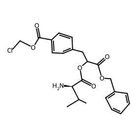 CC(C)[C@@H](N)C(=O)OC(Cc1ccc(C(=O)OCCl)cc1)C(=O)OCc1ccccc1